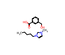 CCCCCN1C=CN(C)C1.O=C(O)c1cccc(CO)c1